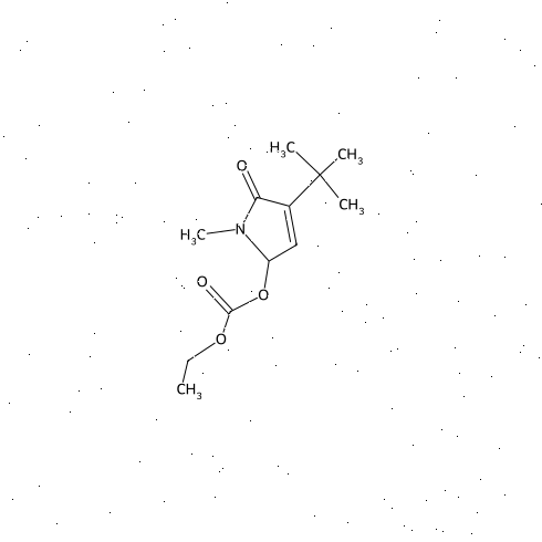 CCOC(=O)OC1C=C(C(C)(C)C)C(=O)N1C